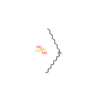 CCCCCCCCC[CH2][Zn][CH2]CCCCCCCCC.OP(O)(=S)S